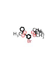 CCC1(OC(=O)c2cc(Br)cc(B3OC(C)(C)C(C)(C)O3)c2)CCCCC1